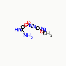 Cc1nnc(-c2ccc(N3CCN(C(=O)COc4ccc5[nH]cc(CCN)c5c4)CC3)cc2)o1